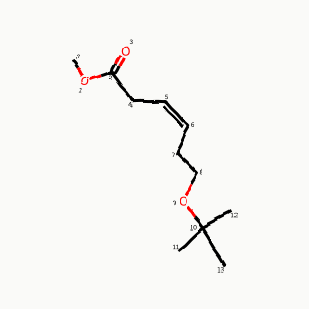 COC(=O)C/C=C\CCOC(C)(C)C